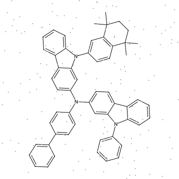 CC1(C)CCC(C)(C)c2cc(-n3c4ccccc4c4ccc(N(c5ccc(-c6ccccc6)cc5)c5ccc6c7ccccc7n(-c7ccccc7)c6c5)cc43)ccc21